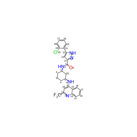 O=C(N[C@@H]1CCC[C@H](Nc2cc(C(F)(F)F)nc3ccccc23)C1)c1cc(-c2ccccc2Cl)[nH]n1